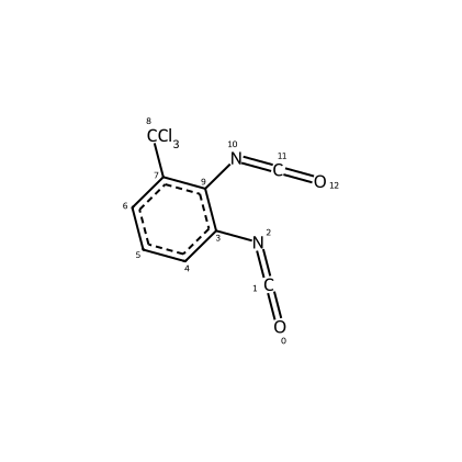 O=C=Nc1cccc(C(Cl)(Cl)Cl)c1N=C=O